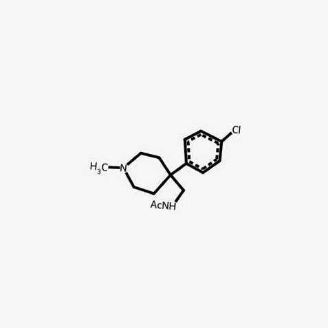 CC(=O)NCC1(c2ccc(Cl)cc2)CCN(C)CC1